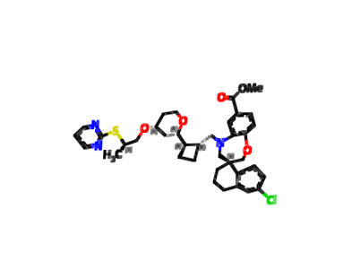 COC(=O)c1ccc2c(c1)N(C[C@@H]1CC[C@H]1[C@@H]1C[C@H](OC[C@@H](C)Sc3ncccn3)CCO1)C[C@@]1(CCCc3cc(Cl)ccc31)CO2